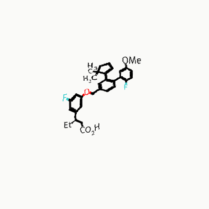 CC[C@H](CC(=O)O)c1cc(F)cc(OCc2ccc(-c3cc(OC)ccc3F)c(C3=CCCC3(C)C)c2)c1